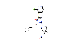 CC1(CNC(=O)O)CCN(c2nc(N)c(Sc3cccnc3C(F)(F)F)c(=O)n2COCC[Si](C)(C)C)CC1